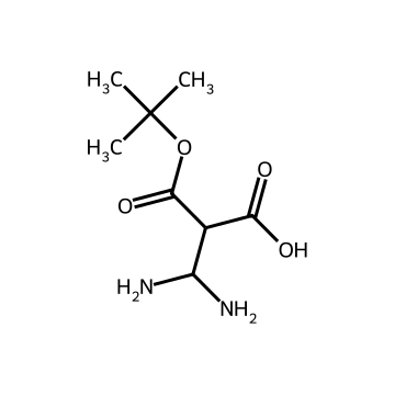 CC(C)(C)OC(=O)C(C(=O)O)C(N)N